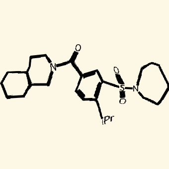 CC(C)c1ccc(C(=O)N2CCC3CCCCC3C2)cc1S(=O)(=O)N1CCCCCC1